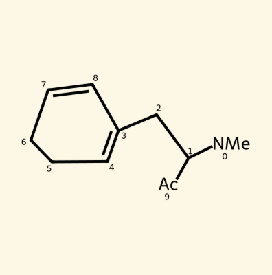 CNC(CC1=CCCC=C1)C(C)=O